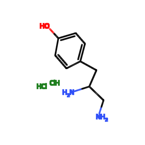 Cl.Cl.NCC(N)Cc1ccc(O)cc1